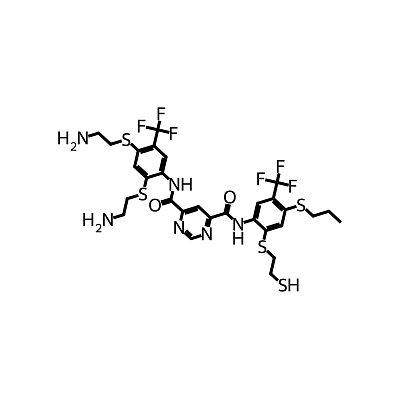 CCCSc1cc(SCCS)c(NC(=O)c2cc(C(=O)Nc3cc(C(F)(F)F)c(SCCN)cc3SCCN)ncn2)cc1C(F)(F)F